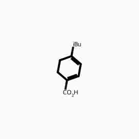 CCC(C)C1=CC=C(C(=O)O)CC1